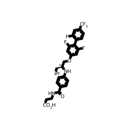 CC(C)C[C@@H](COc1cc(F)c(-c2ccc(C(F)(F)F)cc2F)c(F)c1)Nc1ccc(C(=O)NCCC(=O)O)cc1